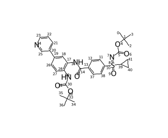 CC(C)(C)OC(=O)N=S(=O)(c1ccc(C(=O)Nc2cc(-c3cccnc3)ccc2NC(=O)OC(C)(C)C)cc1)C1CC1